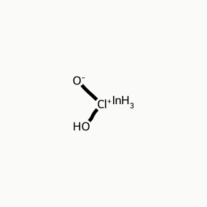 [InH3].[O-][Cl+]O